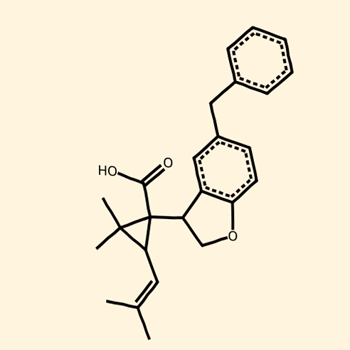 CC(C)=CC1C(C)(C)C1(C(=O)O)C1COc2ccc(Cc3ccccc3)cc21